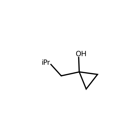 CC(C)CC1(O)CC1